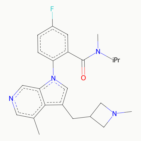 Cc1cncc2c1c(CC1CN(C)C1)cn2-c1ccc(F)cc1C(=O)N(C)C(C)C